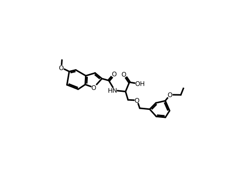 CCOc1cccc(COCC(NC(=O)c2cc3cc(OC)ccc3o2)C(=O)O)c1